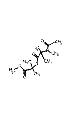 COC(=O)C(C)(C)OC(=O)C(C)(C)N(C)C(C)=O